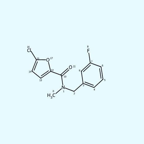 CN(Cc1cccc(F)c1)C(=O)c1ccc(Cl)o1